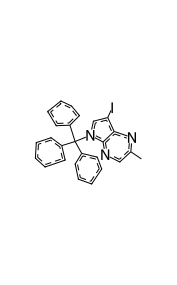 Cc1cnc2c(n1)c(I)cn2C(c1ccccc1)(c1ccccc1)c1ccccc1